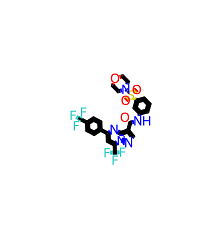 O=C(Nc1cccc(S(=O)(=O)N2CCOCC2)c1)c1cnn2c(C(F)(F)F)cc(-c3ccc(C(F)(F)F)cc3)nc12